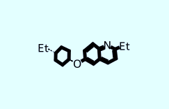 CCc1ccc2cc(O[C@H]3CC[C@@H](CC)CC3)ccc2n1